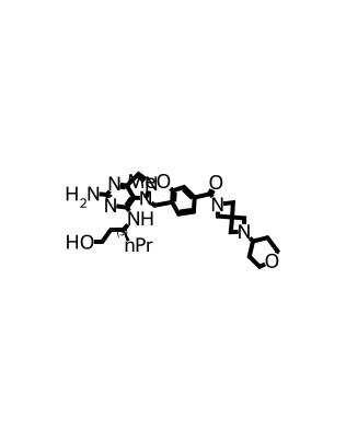 CCC[C@@H](CCO)Nc1nc(N)nc2cnn(Cc3ccc(C(=O)N4CC5(C4)CN(C4CCOCC4)C5)cc3OC)c12